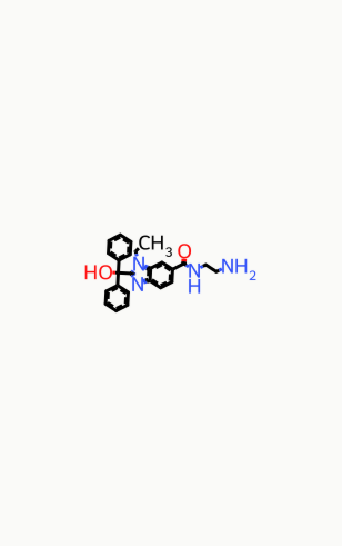 CCn1c(C(O)(c2ccccc2)c2ccccc2)nc2ccc(C(=O)NCCN)cc21